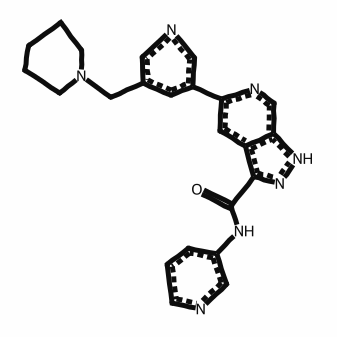 O=C(Nc1cccnc1)c1n[nH]c2cnc(-c3cncc(CN4CCCCC4)c3)cc12